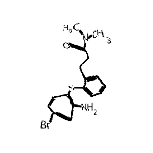 CN(C)C(=O)CCc1ccccc1Sc1ccc(Br)cc1N